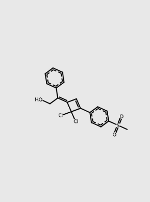 CS(=O)(=O)c1ccc(C2=CC(=C(CO)c3ccccc3)C2(Cl)Cl)cc1